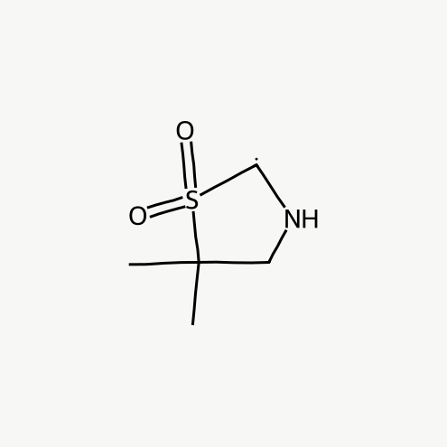 CC1(C)CN[CH]S1(=O)=O